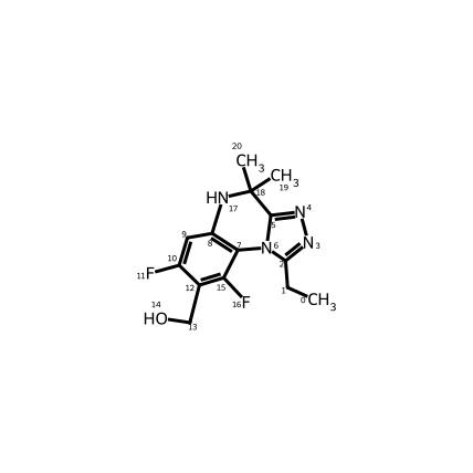 CCc1nnc2n1-c1c(cc(F)c(CO)c1F)NC2(C)C